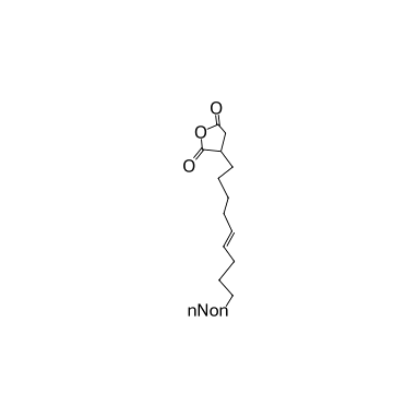 CCCCCCCCCCCCC=CCCCCC1CC(=O)OC1=O